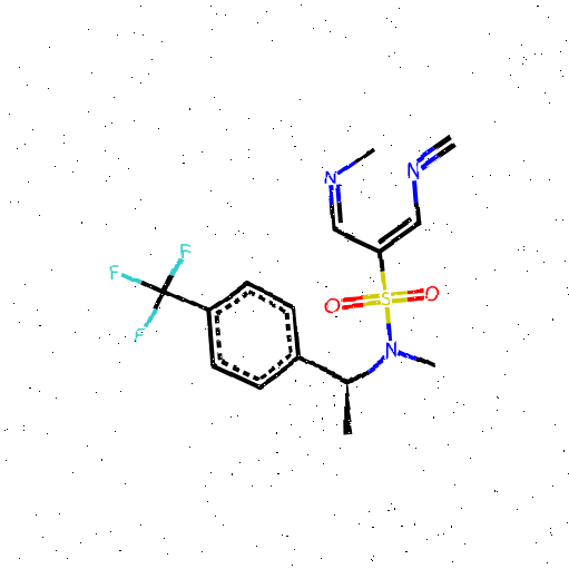 C=N/C=C(\C=N/C)S(=O)(=O)N(C)[C@@H](C)c1ccc(C(F)(F)F)cc1